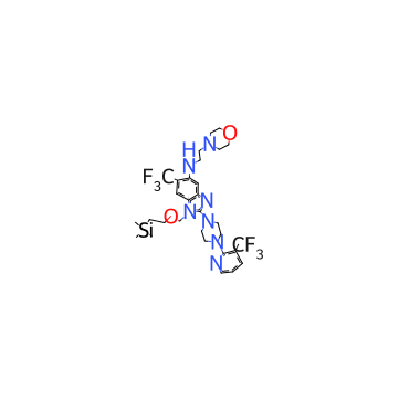 C[Si](C)(C)CCOCn1c(N2CCN(c3ncccc3C(F)(F)F)CC2)nc2cc(NCCN3CCOCC3)c(C(F)(F)F)cc21